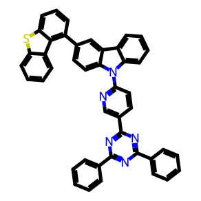 c1ccc(-c2nc(-c3ccccc3)nc(-c3ccc(-n4c5ccccc5c5cc(-c6cccc7sc8ccccc8c67)ccc54)nc3)n2)cc1